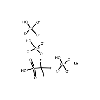 O=S(=O)(O)C(F)(F)F.[La].[O-][Cl+3]([O-])([O-])O.[O-][Cl+3]([O-])([O-])O.[O-][Cl+3]([O-])([O-])O